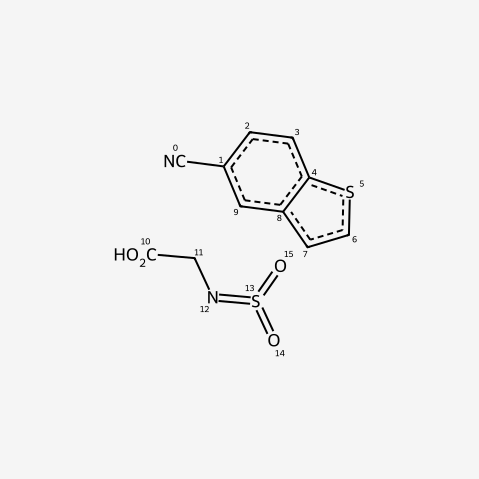 N#Cc1ccc2sccc2c1.O=C(O)CN=S(=O)=O